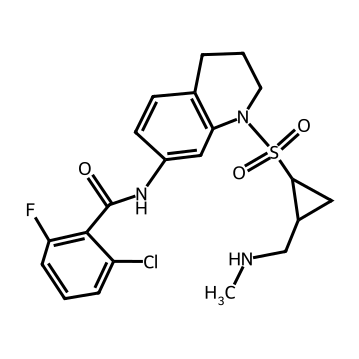 CNCC1CC1S(=O)(=O)N1CCCc2ccc(NC(=O)c3c(F)cccc3Cl)cc21